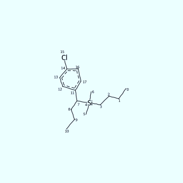 CCCC[Si](C)(C)C(CCC)c1ccc(Cl)cc1